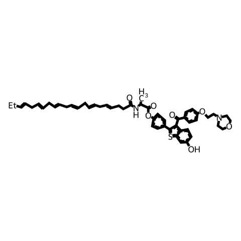 CCC=CCC=CCC=CCC=CCC=CCC=CCCC(=O)NC(C)C(=O)Oc1ccc(-c2sc3cc(O)ccc3c2C(=O)c2ccc(OCCN3CCOCC3)cc2)cc1